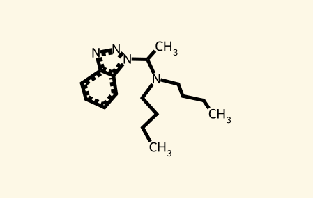 CCCCN(CCCC)C(C)n1nnc2ccccc21